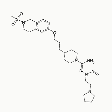 C=NN(CCN1CCCC1)/N=C(\N)N1CCC(CCCOc2ccc3c(c2)CCN(S(C)(=O)=O)C3)CC1